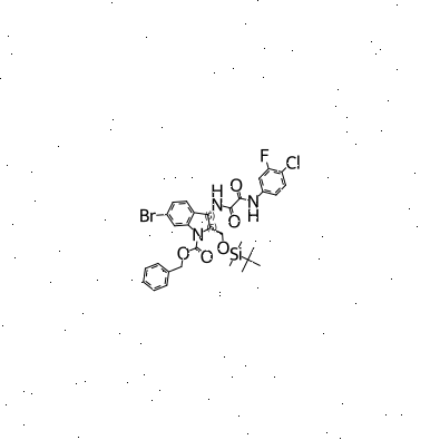 CC(C)(C)[Si](C)(C)OC[C@@H]1[C@@H](NC(=O)C(=O)Nc2ccc(Cl)c(F)c2)c2ccc(Br)cc2N1C(=O)OCc1ccccc1